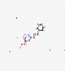 CCOC(=O)/C=C(\N)COCc1ccccc1